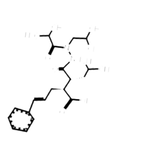 CC(C)C[C@@H](C(=O)NN(CC(C)C)C(=O)C(C)C)[C@H](CC=Cc1ccccc1)C(=O)O